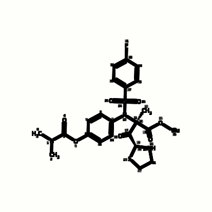 CN(C)C(=O)Oc1ccc(N([C@@](C)(C(=O)OC(C)(C)C)C(=O)[C@H]2NCCS2)S(=O)(=O)c2ccc(F)cc2)cc1